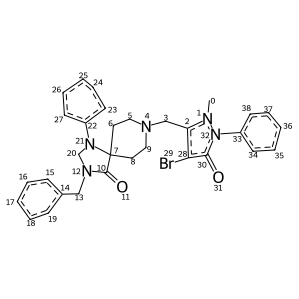 Cn1c(CN2CCC3(CC2)C(=O)N(Cc2ccccc2)CN3c2ccccc2)c(Br)c(=O)n1-c1ccccc1